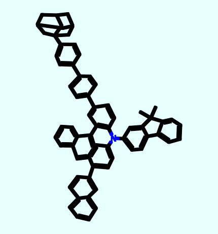 CC1(C)c2ccccc2-c2ccc(N(c3ccc(-c4ccc5ccccc5c4)cc3)c3ccc(-c4ccc(-c5ccc(C67CC8CC(CC(C8)C6)C7)cc5)cc4)cc3-c3cccc4ccccc34)cc21